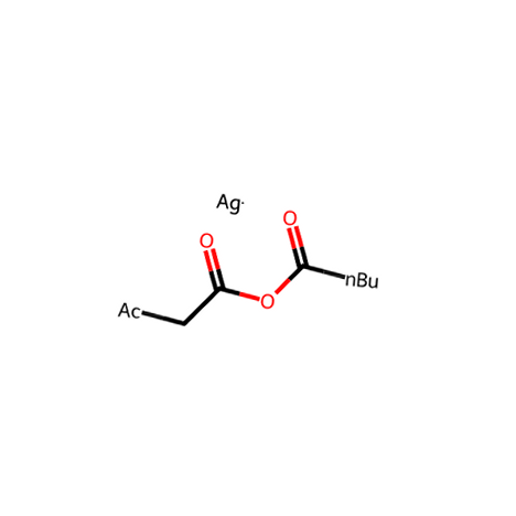 CCCCC(=O)OC(=O)CC(C)=O.[Ag]